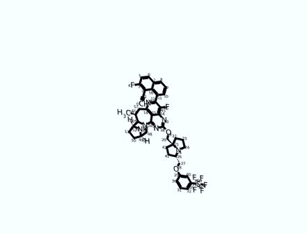 C#Cc1c(F)ccc2cccc(-c3nc4c5c(nc(OC[C@@]67CCCN6[C@H](COc6cccc(S(F)(F)(F)(F)F)c6)CC7)nc5c3F)N3C[C@H]5CC[C@H](N5)C3[C@@H](C)C4)c12